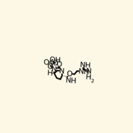 N=C(N)NCCOC(=N)[C@@H]1CC[C@@H]2CN1C(=O)N2OS(=O)(=O)O